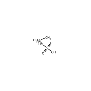 CC(=O)O.O=S(=O)(O)O.[InH3]